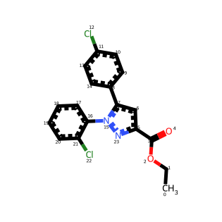 CCOC(=O)c1cc(-c2ccc(Cl)cc2)n(-c2ccccc2Cl)n1